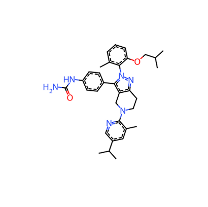 Cc1cc(C(C)C)cnc1N1CCc2nn(-c3c(C)cccc3OCC(C)C)c(-c3ccc(NC(N)=O)cc3)c2C1